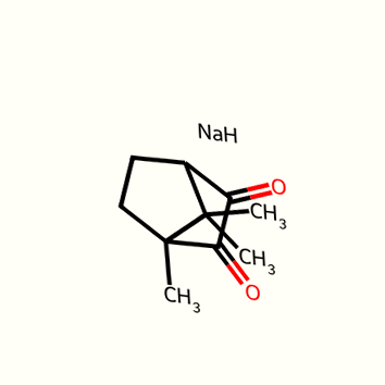 CC12CCC(C(=O)C1=O)C2(C)C.[NaH]